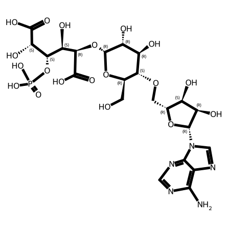 Nc1ncnc2c1ncn2[C@@H]1O[C@H](CO[C@H]2[C@H](O)[C@@H](O)[C@@H](O[C@@H](C(=O)O)[C@H](O)[C@H](OP(=O)(O)O)[C@H](O)C(=O)O)O[C@@H]2CO)[C@@H](O)[C@H]1O